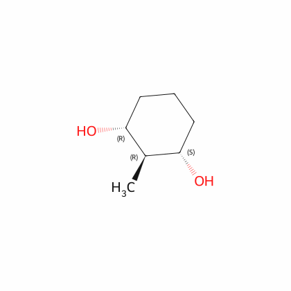 C[C@H]1[C@H](O)CCC[C@@H]1O